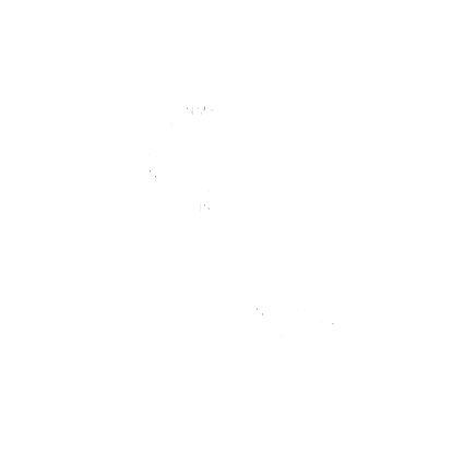 CNC(=O)c1cc(C(=O)NCCCC2CCCN(C(=O)OC(C)(C)C)C2)cn(Cc2ccccc2)c1=O